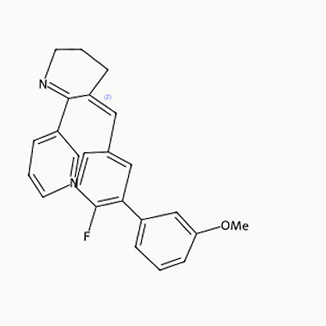 COc1cccc(-c2cc(/C=C3/CCCN=C3c3cccnc3)ccc2F)c1